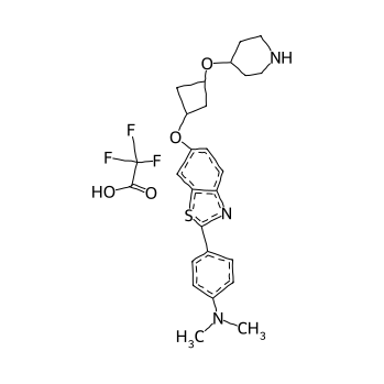 CN(C)c1ccc(-c2nc3ccc(OC4CC(OC5CCNCC5)C4)cc3s2)cc1.O=C(O)C(F)(F)F